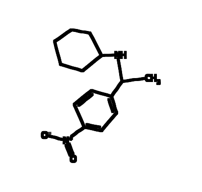 CC(NC1CCCCC1)c1ccc([N+](=O)[O-])cc1